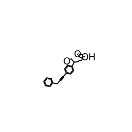 O=S(O)CC1COc2cc(C#CCc3ccccc3)ccc21